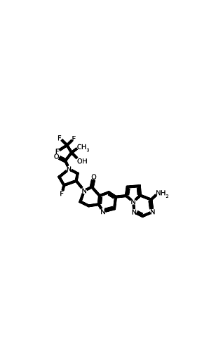 CC(O)(C(=O)N1CC(F)C(N2CCc3ncc(-c4ccc5c(N)ncnn45)cc3C2=O)C1)C(F)(F)F